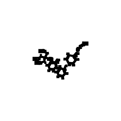 CCC(CO)(CO)CO.Cc1ccccc1.Cc1ccccc1.Cc1ccccc1.N=C=O